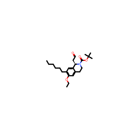 CCCCCCc1cc2c(cc1OCC)CCN(C(=O)OC(C)(C)C)[C@@H]2CC=O